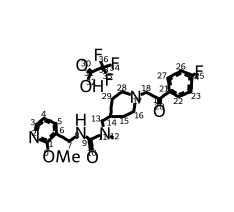 COc1ncccc1CNC(=O)N(C)CC1CCN(CC(=O)c2ccc(F)cc2)CC1.O=C(O)C(F)(F)F